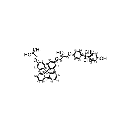 CC(O)COc1ccc(C2(c3ccc(OCC(O)COc4ccc(C(C)(C)c5ccc(O)cc5)cc4)cc3)c3ccccc3-c3ccccc32)cc1